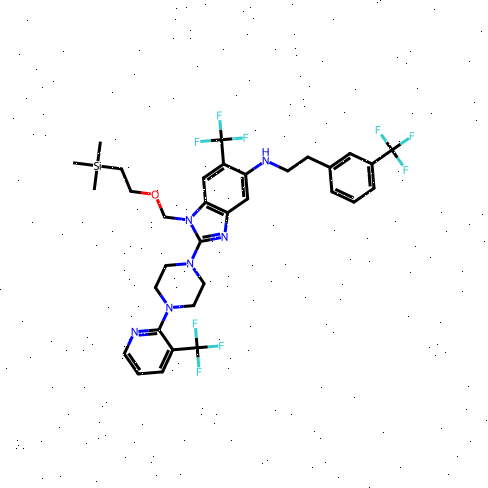 C[Si](C)(C)CCOCn1c(N2CCN(c3ncccc3C(F)(F)F)CC2)nc2cc(NCCc3cccc(C(F)(F)F)c3)c(C(F)(F)F)cc21